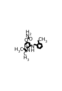 CCc1ccccc1CNc1cc(OC(N)=O)cn2c(C)c(C)nc12